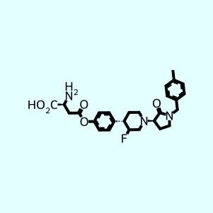 Cc1ccc(CN2CC[C@@H](N3CC[C@@H](c4ccc(OC(=O)C[C@H](N)C(=O)O)cc4)C(F)C3)C2=O)cc1